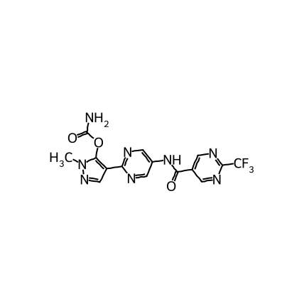 Cn1ncc(-c2ncc(NC(=O)c3cnc(C(F)(F)F)nc3)cn2)c1OC(N)=O